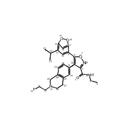 CCNC(=O)c1noc(-c2cc(C(C)C)c3cc2OO3)c1-c1ccc2c(c1)CCN(CCF)C2